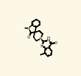 Cc1cccc2c(=O)[nH]c(N3CCC4(CC3)C(=O)N(C)c3ccccc34)nc12